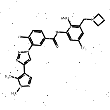 COc1c(CN2CCC2)cc(C(F)(F)F)cc1NC(=O)c1ccc(Cl)c(-n2cc(-c3cnn(C)c3C)nn2)c1